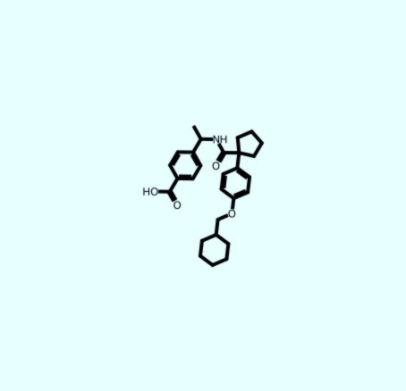 CC(NC(=O)C1(c2ccc(OCC3CCCCC3)cc2)CCCC1)c1ccc(C(=O)O)cc1